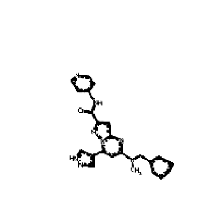 CN(Cc1ccccc1)c1cc(-c2cn[nH]c2)n2nc(C(=O)Nc3ccncc3)cc2n1